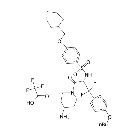 CCCCOc1ccc(C(F)(F)[C@@H](NS(=O)(=O)c2ccc(OCC3CCCCC3)cc2)C(=O)N2CCC(N)CC2)cc1.O=C(O)C(F)(F)F